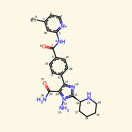 CC(C)c1ccnc(NC(=O)c2ccc(-c3nc([C@@H]4CCCCN4)n(N)c3C(N)=O)cc2)c1